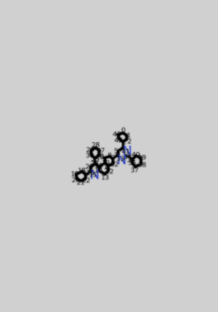 c1ccc(-c2cc(-c3ccc4c(ccc5nc(-c6ccccc6)cc(-c6ccccc6)c54)c3)nc(-c3ccccc3)n2)cc1